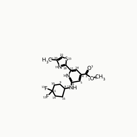 COC(=O)c1cc(NC2CCC(F)(F)CC2)nc(-c2nc(C)cs2)c1